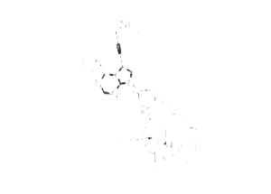 CSSCO[C@H]1C[C@H](n2cc(C#CCN)c3c(N)ncnc32)O[C@@H]1COP(=O)(O)OP(=O)(O)OP(=O)(O)O